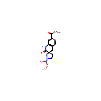 COC(=O)c1ccc2c(c1)NC(=O)C1(CCN(C(=O)OC(C)(C)C)C1)C2